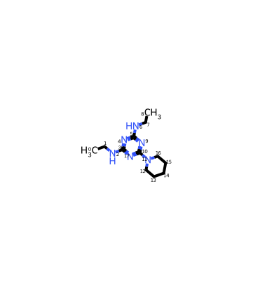 CCNc1nc(NCC)nc(N2CCCCC2)n1